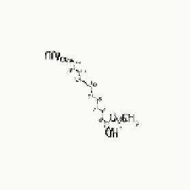 C=COC(O)CCCCCCCCCCCCCCCCCCC